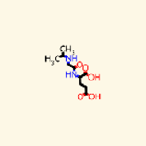 CC(C)NCC(=O)NC(CCC(=O)O)C(=O)O